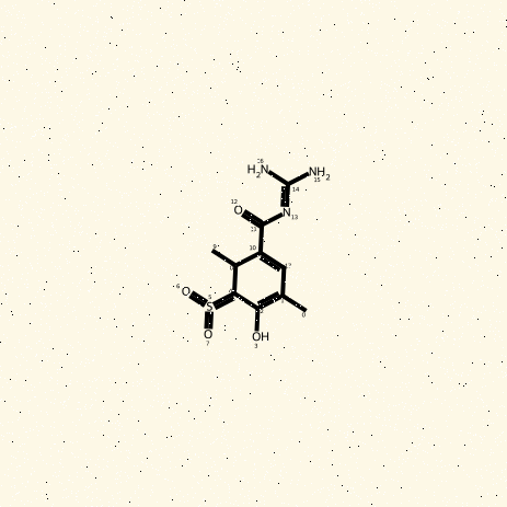 CC1=C(O)C(=S(=O)=O)C(C)C(C(=O)N=C(N)N)=C1